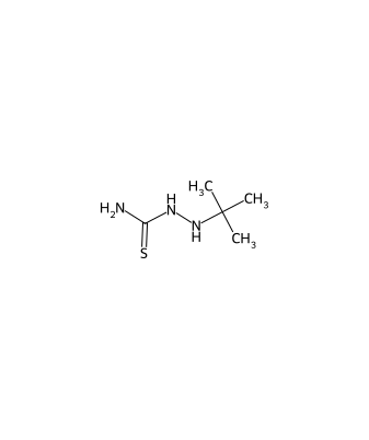 CC(C)(C)NNC(N)=S